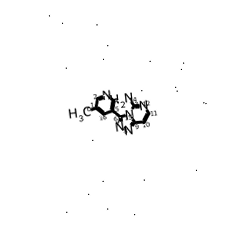 Cc1cncc(-c2nnc3ccnc(N)n23)c1